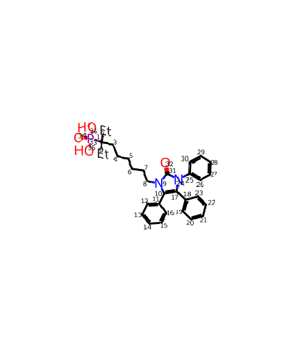 CCC(CC)(CCCCCCn1c(-c2ccccc2)c(-c2ccccc2)n(-c2ccccc2)c1=O)P(=O)(O)O